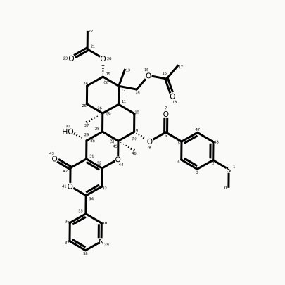 CSc1ccc(C(=O)O[C@H]2CC3C(C)(COC(C)=O)[C@@H](OC(C)=O)CC[C@]3(C)C3[C@@H](O)c4c(cc(-c5cccnc5)oc4=O)O[C@@]32C)cc1